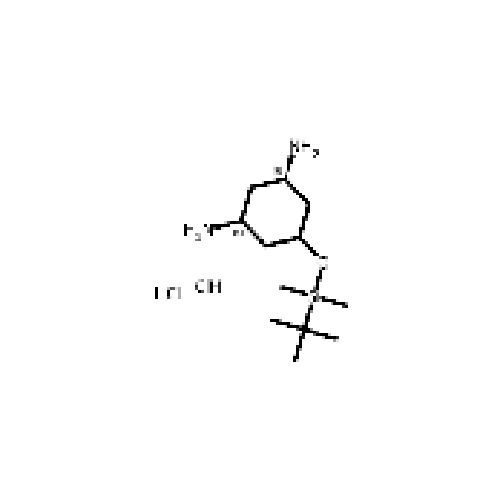 CC(C)(C)[Si](C)(C)OC1C[C@@H](N)C[C@@H](N)C1.Cl.Cl